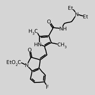 CCOC(=O)N1C(=O)C(=Cc2[nH]c(C)c(C(=O)NCCN(CC)CC)c2C)c2cc(F)ccc21